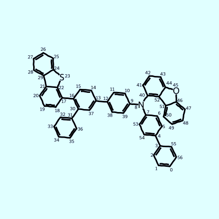 c1ccc(-c2ccc(N(c3ccc(-c4ccc(-c5cccc6c5sc5ccccc56)c(-c5ccccc5)c4)cc3)c3cccc4oc5ccccc5c34)cc2)cc1